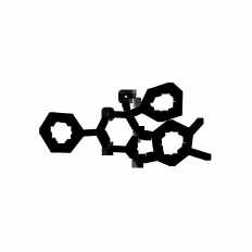 Cc1cc2nc3n(c2cc1C)[C@](c1ccccc1)(C(F)(F)F)OC(c1ccccc1)=N3